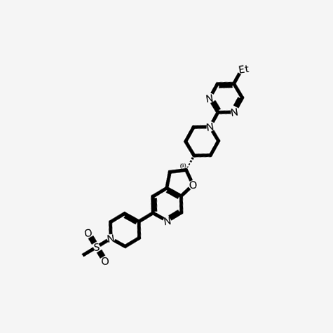 CCc1cnc(N2CCC([C@H]3Cc4cc(C5=CCN(S(C)(=O)=O)CC5)ncc4O3)CC2)nc1